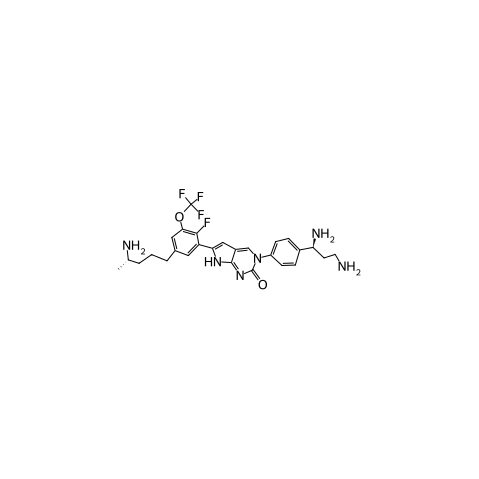 C[C@H](N)CCCc1cc(OC(F)(F)F)c(F)c(-c2cc3cn(-c4ccc([C@@H](N)CCN)cc4)c(=O)nc3[nH]2)c1